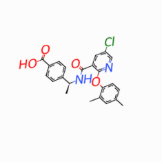 Cc1ccc(Oc2ncc(Cl)cc2C(=O)N[C@@H](C)c2ccc(C(=O)O)cc2)c(C)c1